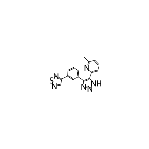 Cc1cccc(-c2[nH]nnc2-c2cccc(-c3cnsn3)c2)n1